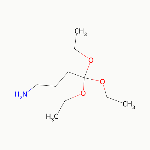 CCOC(CCCN)(OCC)OCC